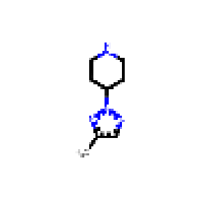 Cc1cnn(C2CCNCC2)n1